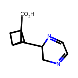 O=C(O)C12CC(C1)C2C1CN=CC=N1